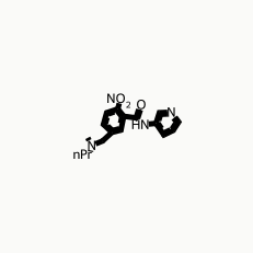 CCCN(C)Cc1ccc([N+](=O)[O-])c(C(=O)Nc2cccnc2)c1